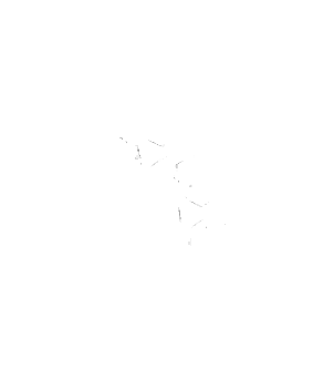 Nc1ccc(C(=O)NCc2ccc(F)c(F)c2)cn1